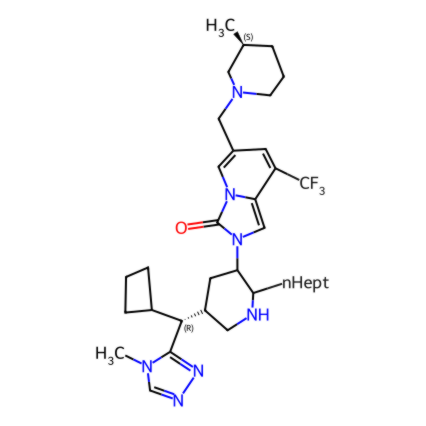 CCCCCCCC1NCC([C@H](c2nncn2C)C2CCC2)CC1n1cc2c(C(F)(F)F)cc(CN3CCC[C@H](C)C3)cn2c1=O